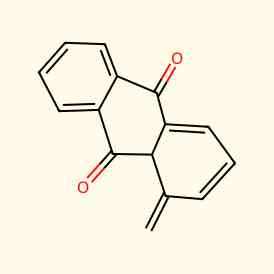 C=C1C=CC=C2C(=O)c3ccccc3C(=O)C12